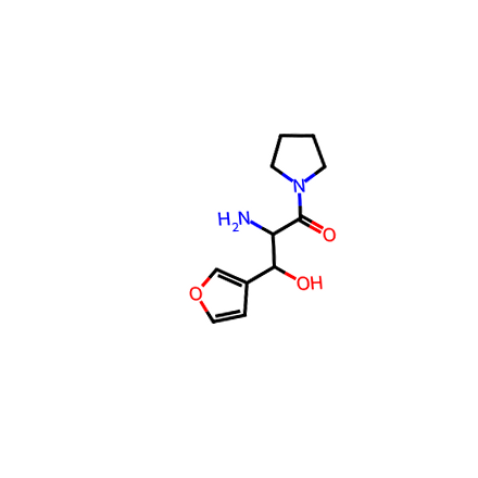 NC(C(=O)N1CCCC1)C(O)c1ccoc1